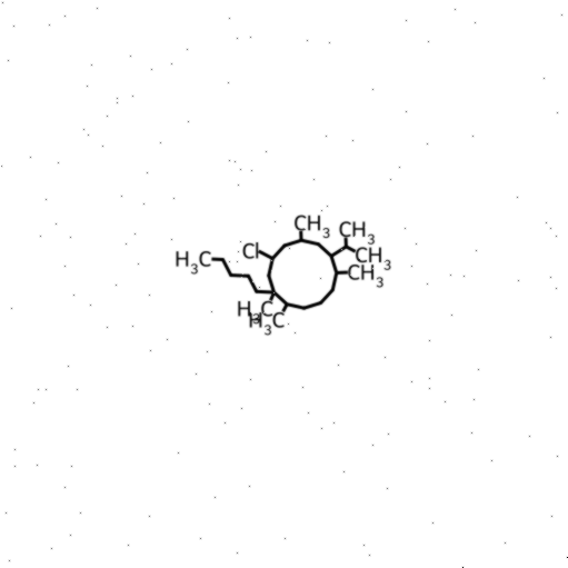 CCCCCC1(C)CC(Cl)CC(C)CC(C(C)C)C(C)CCCC1C